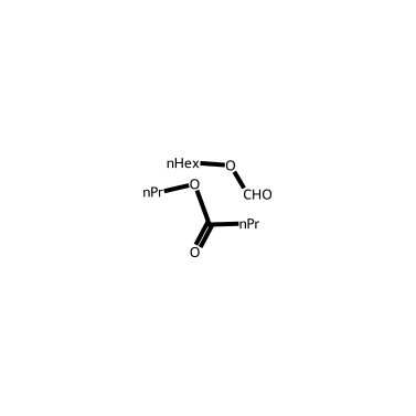 CCCCCCOC=O.CCCOC(=O)CCC